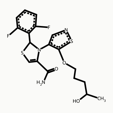 CC(O)CCCOc1sncc1N1C(C(N)=O)=CSC1c1c(F)cccc1F